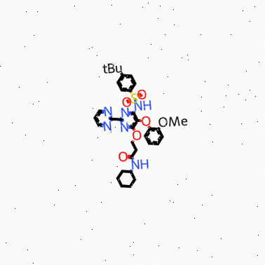 COc1ccccc1Oc1c(NS(=O)(=O)c2ccc(C(C)(C)C)cc2)nc(-c2ncccn2)nc1OCCC(=O)NC1CCCCC1